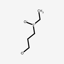 CC[S+]([O-])CCC[O]